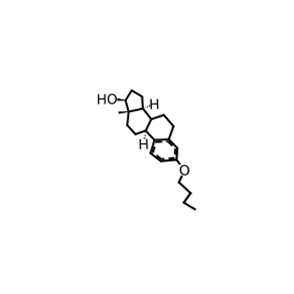 CCCCOc1ccc2c(c1)CCC1[C@@H]2CC[C@]2(C)[C@@H](O)CC[C@@H]12